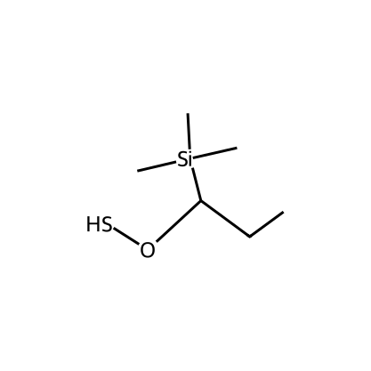 CCC(OS)[Si](C)(C)C